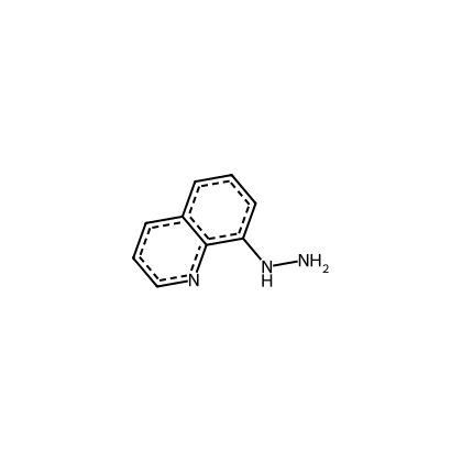 NNc1cccc2cccnc12